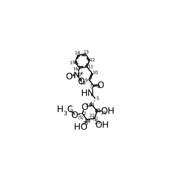 CO[C@H]1O[C@H](CNC(=O)C=Cc2ccccc2[N+](=O)[O-])[C@@H](O)[C@H](O)[C@@H]1O